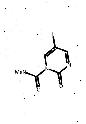 CNC(=O)n1cc(I)cnc1=O